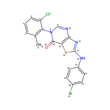 Cc1cccc(Cl)c1-n1cnc2nc(Nc3ccc(Br)cc3)sc2c1=O